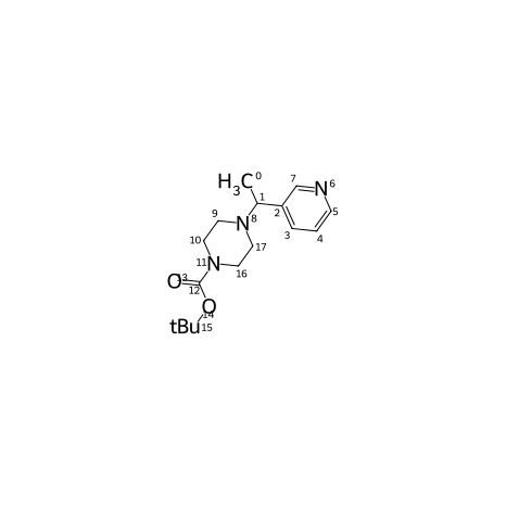 CC(c1cccnc1)N1CCN(C(=O)OC(C)(C)C)CC1